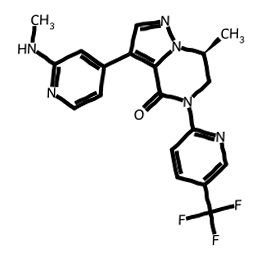 CNc1cc(-c2cnn3c2C(=O)N(c2ccc(C(F)(F)F)cn2)C[C@@H]3C)ccn1